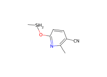 C[SiH2]Oc1ccc(C#N)c(C)n1